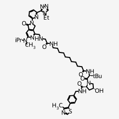 CCn1cnnc1-c1cccc(N2Cc3c(cc(N(C)C(C)C)nc3CNCC(=O)NCCCCCCCCCCC(=O)N[C@H](C(=O)N3C[C@H](O)C[C@H]3C(=O)NCc3ccc(-c4scnc4C)cc3)C(C)(C)C)C2=O)n1